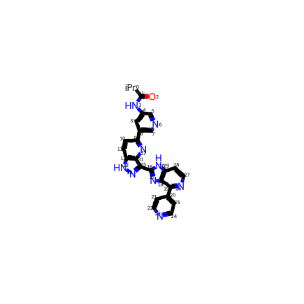 CC(C)C(=O)Nc1cncc(-c2ccc3[nH]nc(-c4nc5c(-c6ccncc6)nccc5[nH]4)c3n2)c1